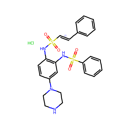 Cl.O=S(=O)(/C=C/c1ccccc1)Nc1ccc(N2CCNCC2)cc1NS(=O)(=O)c1ccccc1